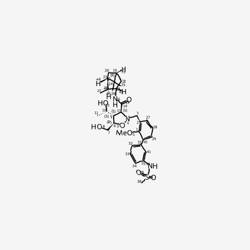 COc1c(CN2O[C@@H](CO)[C@H]([C@H](C)O)[C@H]2C(=O)N[C@H]2C[C@H]3C[C@@H]([C@@H]2C)C3(C)C)cccc1-c1cccc(NS(C)(=O)=O)c1